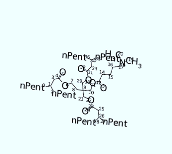 CCCCCC(CCCCC)CC(=O)OCCC(COC(=O)CCCCN(C)C)(COC(=O)CC(CCCCC)CCCCC)COC(=O)CC(CCCCC)CCCCC